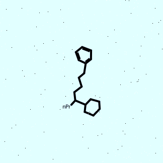 [CH2]CCC(CCCCc1ccccc1)C1CCCCC1